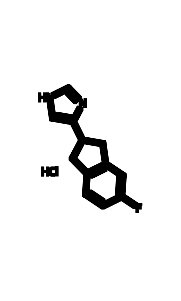 Cl.Fc1ccc2c(c1)CC(c1c[nH]cn1)C2